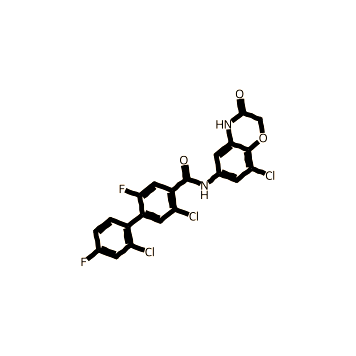 O=C1COc2c(Cl)cc(NC(=O)c3cc(F)c(-c4ccc(F)cc4Cl)cc3Cl)cc2N1